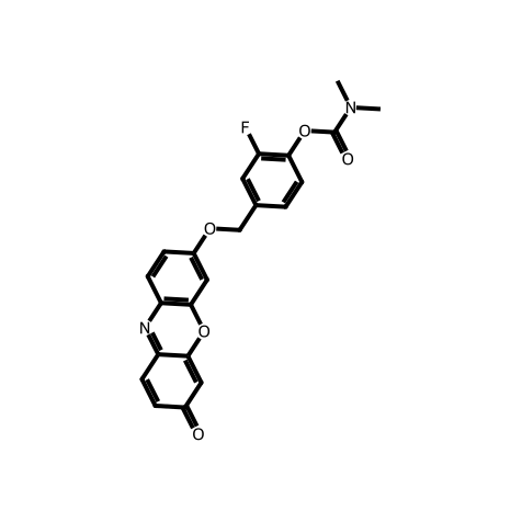 CN(C)C(=O)Oc1ccc(COc2ccc3nc4ccc(=O)cc-4oc3c2)cc1F